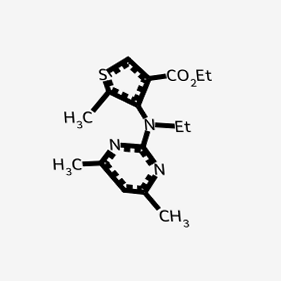 CCOC(=O)c1csc(C)c1N(CC)c1nc(C)cc(C)n1